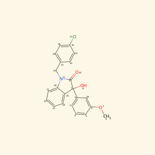 COc1cccc(C2(O)C(=O)N(Cc3ccc(Cl)cc3)c3ccccc32)c1